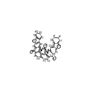 O=c1c2cc3oc4ccccc4c3cc2n2c(=O)n3c4cc5c(cc4c(=O)c4ccc6ccc1c2c6c43)oc1ccccc15